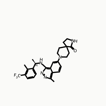 Cc1c([C@@H](C)Nc2nnc(C)c3ccc(N4CCC5(CCNC5=O)CC4)cc23)cccc1C(F)(F)F